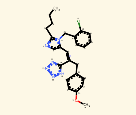 CCCCc1ncc(/C=C(/Cc2ccc(OC)cc2)c2nnn[nH]2)n1Cc1ccccc1Cl